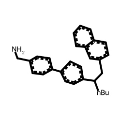 CCCCC(Cc1ccc2ccccc2c1)c1ccc(-c2ccc(CN)cc2)cc1